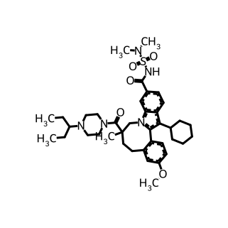 CCC(CC)N1CCN(C(=O)C2(C)CCc3cc(OC)ccc3-c3c(C4CCCCC4)c4ccc(C(=O)NS(=O)(=O)N(C)C)cc4n3C2)CC1